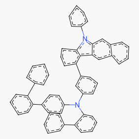 c1ccc(-c2ccccc2-c2ccc(N(c3cccc(-c4cccc5c4c4cc6ccccc6cc4n5-c4ccccc4)c3)c3ccccc3-c3ccccc3)cc2)cc1